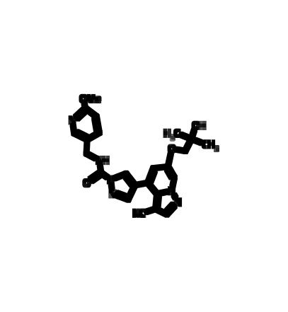 COc1ccc(CNC(=O)n2cc(-c3cc(OCC(C)(C)O)cn4ncc(C#N)c34)cn2)cn1